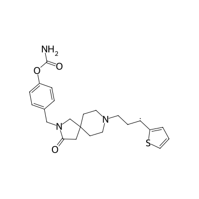 NC(=O)Oc1ccc(CN2CC3(CCN(CC[CH]c4cccs4)CC3)CC2=O)cc1